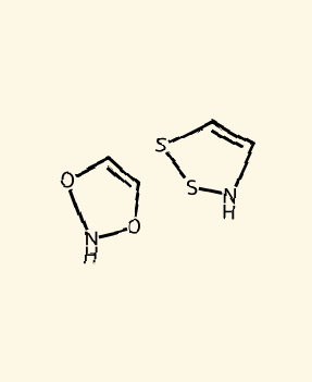 C1=CONO1.C1=CSSN1